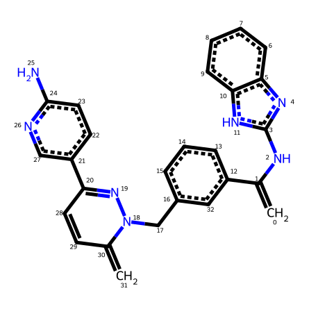 C=C(Nc1nc2ccccc2[nH]1)c1cccc(CN2N=C(c3ccc(N)nc3)C=CC2=C)c1